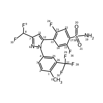 Cc1ccc(-n2nc(C(F)F)cc2-c2cc(F)c(S(N)(=O)=O)cc2F)cc1C(F)(F)F